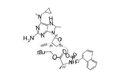 C#C[C@H]1C[C@@H](CO[P@@](=O)(N[C@@H](C)C(=O)OCC(C)(C)C)Oc2cccc3ccccc23)O[C@H]1N1c2nc(N)nc(N(C)C3CC3)c2NC1C